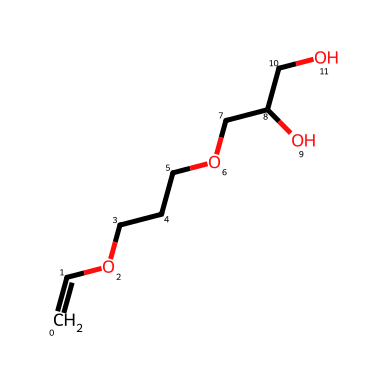 C=COCCCOCC(O)CO